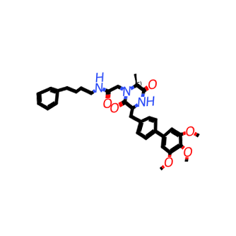 COc1cc(-c2ccc(CC3NC(=O)[C@H](C)N(CC(=O)NCCCCc4ccccc4)C3=O)cc2)cc(OC)c1OC